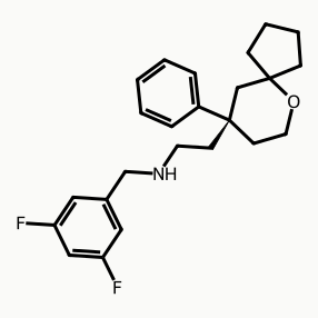 Fc1cc(F)cc(CNCC[C@]2(c3ccccc3)CCOC3(CCCC3)C2)c1